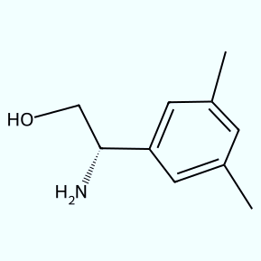 Cc1cc(C)cc([C@H](N)CO)c1